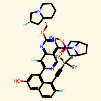 CC(C)[Si](C#Cc1c(F)ccc2cc(O)cc(-c3ncc4c(N5CC6CCC(C5)N6C(=O)OC(C)(C)C)nc(OC[C@@]56CCCCN5C[C@H](F)C6)nc4c3F)c12)(C(C)C)C(C)C